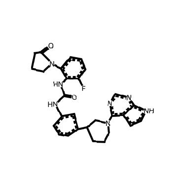 O=C(Nc1cccc(C2CCCN(c3ncnc4[nH]ccc34)C2)c1)Nc1c(F)cccc1N1CCCC1=O